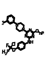 CCCOc1nc(Nc2ccc(OC(F)(P)Cl)cc2)nc(N2CCN(c3cccc(Cl)c3)CC2)n1